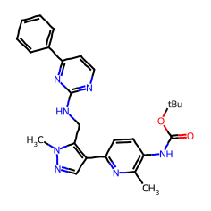 Cc1nc(-c2cnn(C)c2CNc2nccc(-c3ccccc3)n2)ccc1NC(=O)OC(C)(C)C